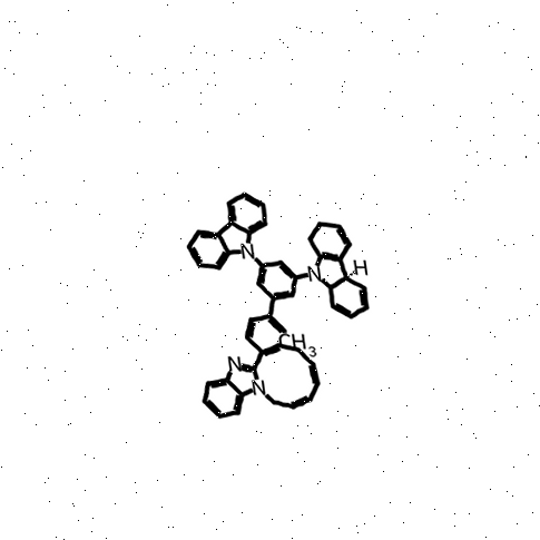 C\C=C(/C=C\C1=C\C/C=C\C=C/Cn2c1nc1ccccc12)c1cc(N2C3=C(C=CCC3)[C@H]3C=CC=CC32)cc(-n2c3ccccc3c3ccccc32)c1